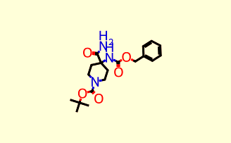 CC(C)(C)OC(=O)N1CCC(NC(=O)OCc2ccccc2)(C(N)=O)CC1